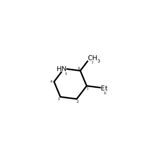 CCC1CCCNC1C